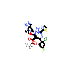 COC(=O)C1=C(CN2C3COC[C@H]2c2[nH]ncc23)NC(c2nccs2)=NC1c1ccc(F)cc1Cl